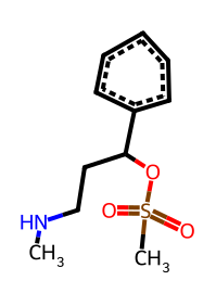 CNCCC(OS(C)(=O)=O)c1ccccc1